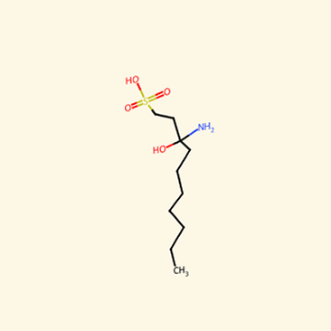 CCCCCCCC(N)(O)CCS(=O)(=O)O